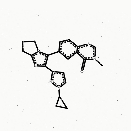 Cn1cnc2ccc(-c3c(-c4ccn(C5CC5)n4)nc4n3CCC4)cc2c1=O